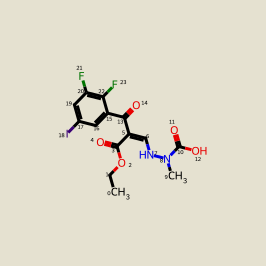 CCOC(=O)/C(=C\NN(C)C(=O)O)C(=O)c1cc(I)cc(F)c1F